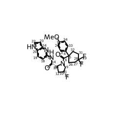 COc1ccc(C2(C(=O)N3C[C@H](F)C[C@@H]3C(=O)Nc3ccc4[nH]ccc4n3)CCC(F)(F)CC2)cc1